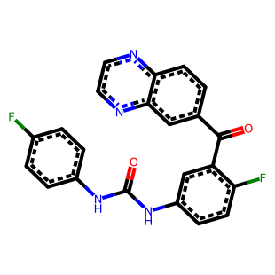 O=C(Nc1ccc(F)cc1)Nc1ccc(F)c(C(=O)c2ccc3nccnc3c2)c1